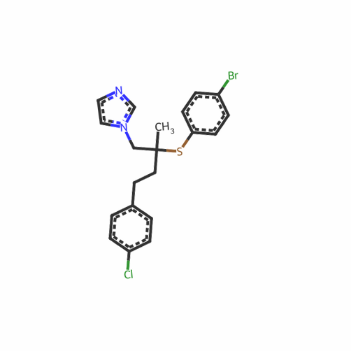 CC(CCc1ccc(Cl)cc1)(Cn1ccnc1)Sc1ccc(Br)cc1